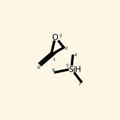 C=C1CO1.C[SiH](C)C